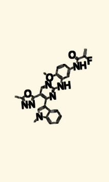 C=C(F)C(=O)Nc1ccc(OC)c(Nc2ncc(-c3nnc(C)o3)c(-c3cn(C)c4ccccc34)n2)c1